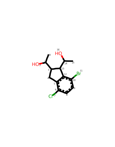 CC(O)C1Cc2c(Cl)ccc(Br)c2C1C(C)O